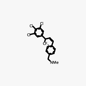 CNCc1ccc(/C=C\C(c2cc(Cl)c(Cl)c(Cl)c2)C(F)(F)F)cc1